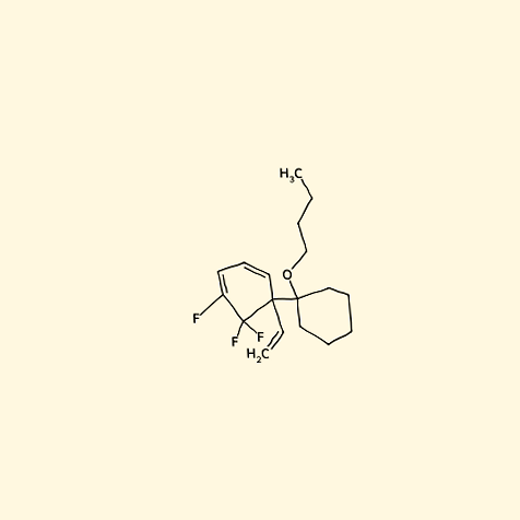 C=CC1(C2(OCCCC)CCCCC2)C=CC=C(F)C1(F)F